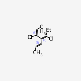 C/C=C/C(C(/Cl)=C\C)=C(\Cl)CC